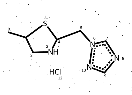 CC1CNC(Cn2cncn2)S1.Cl